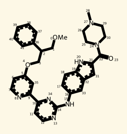 COCC(COc1ccnc(-c2ccnc(Nc3ccc4[nH]c(C(=O)N5CCN(C)CC5)cc4c3)n2)c1)c1ccccc1